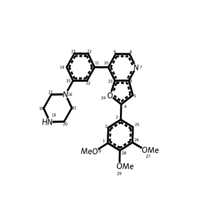 COc1cc(-c2cc3nccc(-c4cccc(N5CCNCC5)c4)c3o2)cc(OC)c1OC